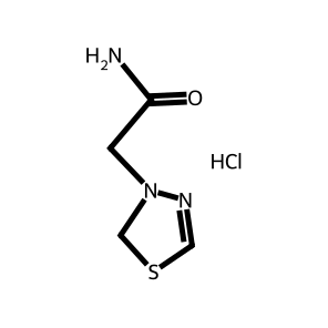 Cl.NC(=O)CN1CSC=N1